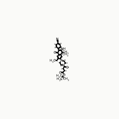 CCc1cc2c(cc1N1CCN(C(=O)CCC(=O)OC(C)(C)C)CC1)C(C)(C)c1[nH]c3cc(C#N)ccc3c1C2=O